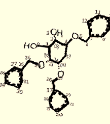 OC1[C@H](O)C(OCc2ccccc2)C[C@H](OCc2ccccc2)[C@@H]1OCc1ccccc1